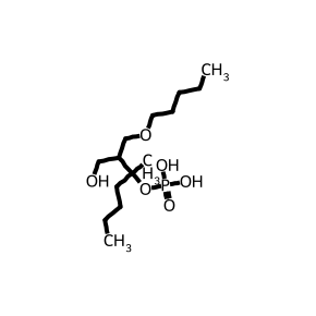 CCCCCOCC(CO)C(C)(CCCC)OP(=O)(O)O